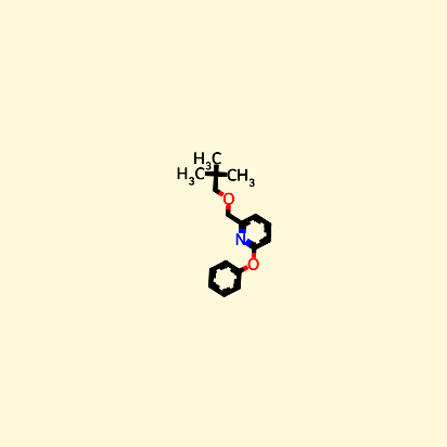 CC(C)(C)COCc1cccc(Oc2ccccc2)n1